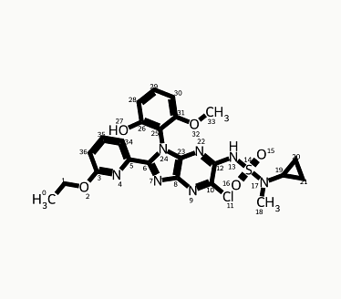 CCOC1=NC(c2nc3nc(Cl)c(NS(=O)(=O)N(C)C4CC4)nc3n2-c2c(O)cccc2OC)=C=C=C1